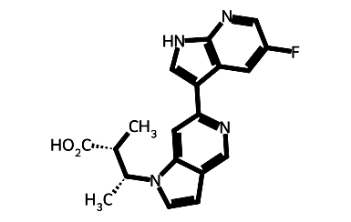 C[C@H]([C@@H](C)C(=O)O)n1ccc2cnc(-c3c[nH]c4ncc(F)cc34)cc21